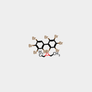 Brc1cc(-c2c(Br)c(Br)c(Br)c(Br)c2Br)c(Br)c(Br)c1Br.CCOCC